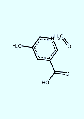 C=O.Cc1cncc(C(=O)O)c1